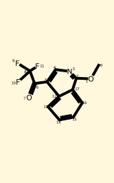 COc1ncc(C(=O)C(F)(F)F)c2ccccc12